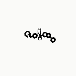 O=C(Nc1ccc(CN2CCCCCC2)cc1)C1=Cc2cc(-c3ccccc3)ccc2CC1